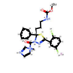 CC(C)(C)OC(=O)NCCC[C@@]1(c2ccccc2)SC(c2cc(F)ccc2F)=NN1C(=O)[N+]1(C)C=CN=C1.[I-]